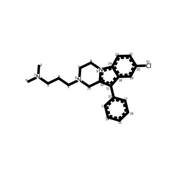 CN(C)CCCN1CCn2c(c(-c3ccccc3)c3cc(Cl)ccc32)C1